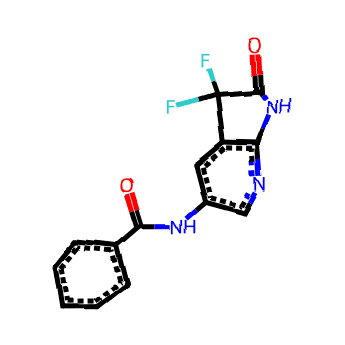 O=C(Nc1cnc2c(c1)C(F)(F)C(=O)N2)c1ccccc1